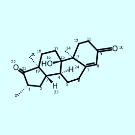 C[C@H]1C[C@H]2[C@@H]3CCC4=CC(=O)CC[C@]4(C)[C@@]3(O)CC[C@]2(C)C1=O